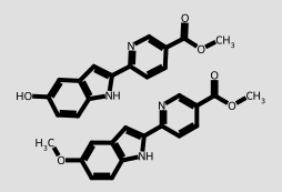 COC(=O)c1ccc(-c2cc3cc(O)ccc3[nH]2)nc1.COC(=O)c1ccc(-c2cc3cc(OC)ccc3[nH]2)nc1